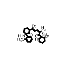 C=C(/C(C)=C\C=C(/CC)C1CCC[C@](N)(c2ccccc2C)C1=O)[C@]1(N)CCCCC1=O